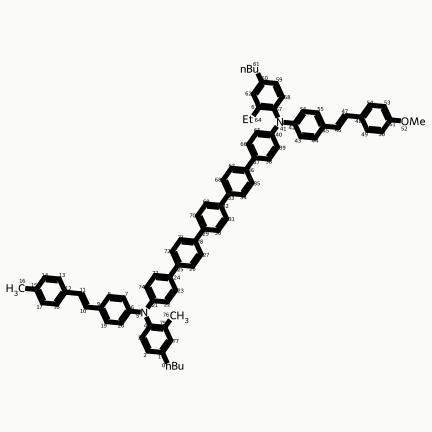 CCCCc1ccc(N(c2ccc(/C=C/c3ccc(C)cc3)cc2)c2ccc(-c3ccc(-c4ccc(-c5ccc(-c6ccc(N(c7ccc(/C=C/c8ccc(OC)cc8)cc7)c7ccc(CCCC)cc7CC)cc6)cc5)cc4)cc3)cc2)c(C)c1